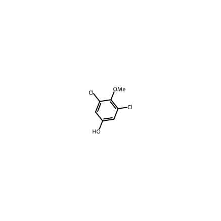 COc1c(Cl)cc(O)cc1Cl